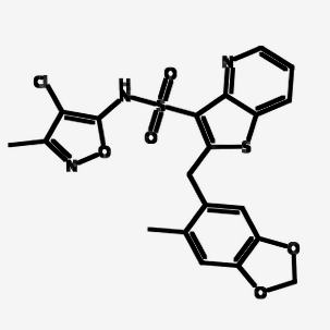 Cc1cc2c(cc1Cc1sc3cccnc3c1S(=O)(=O)Nc1onc(C)c1Cl)OCO2